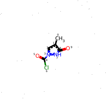 Cc1cn(C(=O)Cl)[nH]c1=O